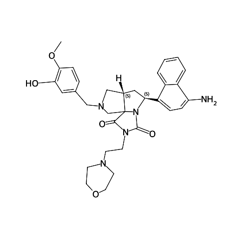 COc1ccc(CN2C[C@@H]3C[C@@H](c4ccc(N)c5ccccc45)N4C(=O)N(CCN5CCOCC5)C(=O)C34C2)cc1O